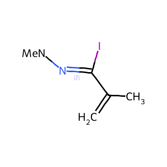 C=C(C)/C(I)=N/NC